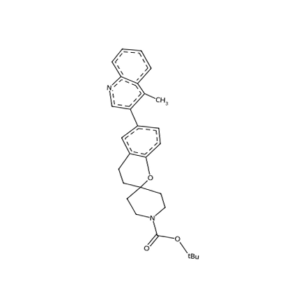 Cc1c(-c2ccc3c(c2)CCC2(CCN(C(=O)OC(C)(C)C)CC2)O3)cnc2ccccc12